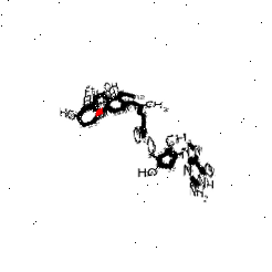 C=C1[C@H](COC(=O)CC[C@@H](C)[C@H]2CC[C@H]3[C@@H]4[C@H](O)C(CC)[C@@H]5C[C@H](O)CC[C@]5(C)[C@H]4CC[C@]23C)[C@@H](O)C[C@@H]1n1cnc2c(=O)[nH]c(N)nc21